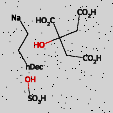 CCCCCCCCCCC[CH2][Na].O=C(O)CC(O)(CC(=O)O)C(=O)O.O=S(=O)(O)O